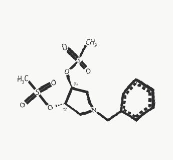 CS(=O)(=O)O[C@H]1CN(Cc2ccccc2)C[C@@H]1OS(C)(=O)=O